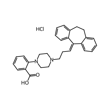 Cl.O=C(O)c1ccccc1N1CCN(CCC=C2c3ccccc3CCc3ccccc32)CC1